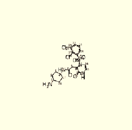 N[C@H]1CC[C@H](NC(=O)C[C@@H]2C(=O)NC=CN2S(=O)(=O)c2cccc(Cl)c2Cl)CC1